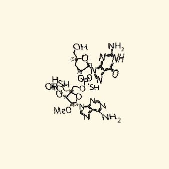 CO[C@H]1[C@@H](n2cnc3c(N)ncnc32)O[C@](C)(COP(=O)(S)O[C@@H]2C[C@@H](CO)O[C@H]2n2cnc3c(=O)[nH]c(N)nc32)[C@H]1O[PH](=O)S